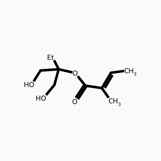 CC=C(C)C(=O)OC(CC)(CO)CO